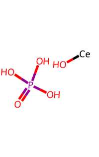 O=P(O)(O)O.[OH][Ce]